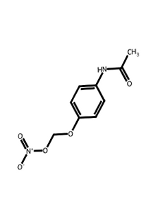 CC(=O)Nc1ccc(OCO[N+](=O)[O-])cc1